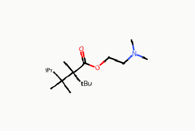 CC(C)C(C)(C)C(C)(C(=O)OCCN(C)C)C(C)(C)C